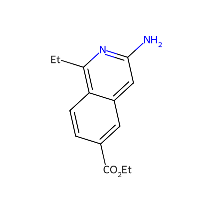 CCOC(=O)c1ccc2c(CC)nc(N)cc2c1